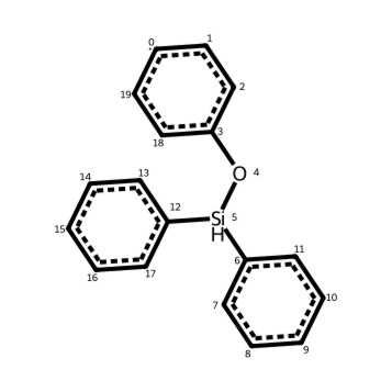 [c]1ccc(O[SiH](c2ccccc2)c2ccccc2)cc1